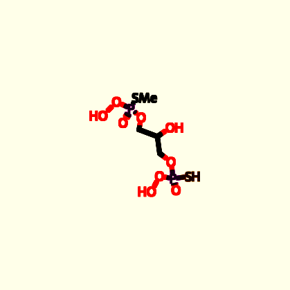 CSP(=O)(OO)OCC(O)COP(=O)(S)OO